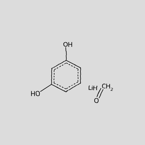 C=O.Oc1cccc(O)c1.[LiH]